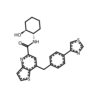 O=C(N[C@H]1CCCC[C@@H]1O)c1cc(Cc2ccc(-c3cscn3)cc2)c2sccc2n1